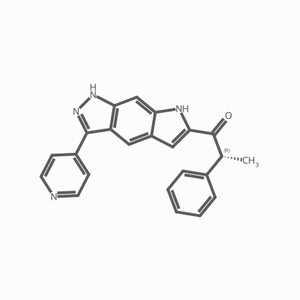 C[C@@H](C(=O)c1cc2cc3c(-c4ccncc4)n[nH]c3cc2[nH]1)c1ccccc1